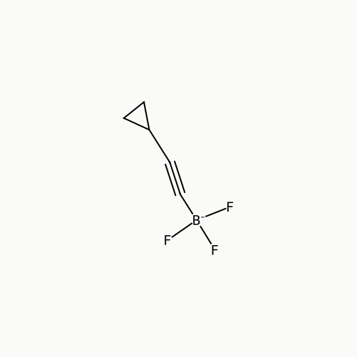 F[B-](F)(F)C#CC1CC1